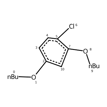 CCCCOc1ccc(Cl)c(OCCCC)c1